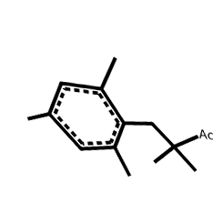 CC(=O)C(C)(C)Cc1c(C)cc(C)cc1C